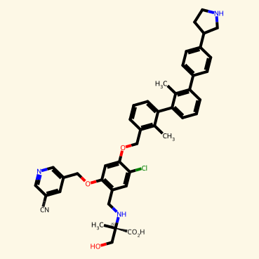 Cc1c(COc2cc(OCc3cncc(C#N)c3)c(CN[C@@](C)(CO)C(=O)O)cc2Cl)cccc1-c1cccc(-c2ccc(C3CCNC3)cc2)c1C